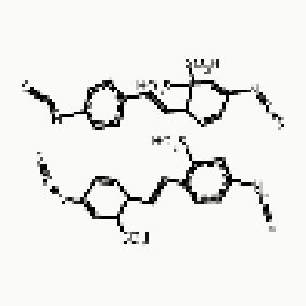 O=S(=O)(O)C1(S(=O)(=O)O)C=C(N=C=S)C=CC1C=Cc1ccc(N=C=S)cc1.O=S(=O)(O)c1cc(N=C=S)ccc1C=CC1C=CC(N=C=S)=CC1S(=O)(=O)O